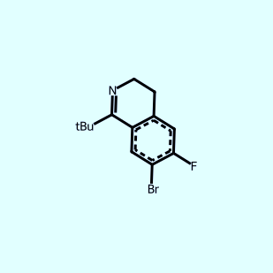 CC(C)(C)C1=NCCc2cc(F)c(Br)cc21